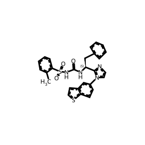 Cc1ccccc1S(=O)(=O)NC(=O)N[C@@H](Cc1ccccc1)c1nccn1-c1ccc2sccc2c1